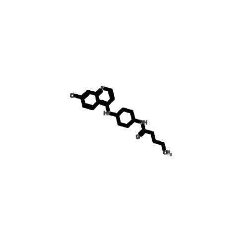 CCCCC(=O)NC1CCC(Nc2ccnc3cc(Cl)ccc23)CC1